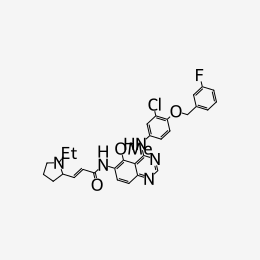 CCN1CCCC1/C=C/C(=O)Nc1ccc2ncnc(Nc3ccc(OCc4cccc(F)c4)c(Cl)c3)c2c1OC